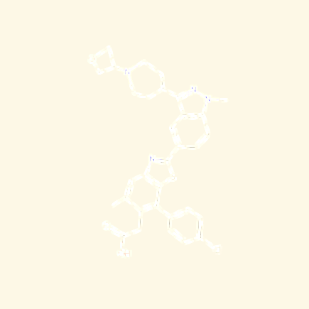 Cc1cc2nc(-c3ccc4c(c3)c(C3CCN(C5COC5)CC3)nn4C)sc2c(-c2ccc(Cl)cc2)c1CC(=O)O